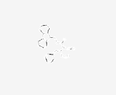 CON(C(=O)OCC1c2ccccc2-c2ccccc21)[C@@H](Cc1ccccc1)C(=O)O